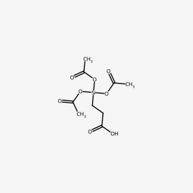 CC(=O)O[Si](CCC(=O)O)(OC(C)=O)OC(C)=O